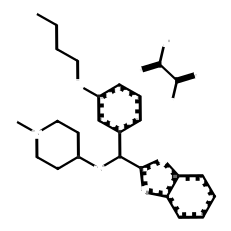 CCCCOc1cccc(C(NC2CCN(C)CC2)c2nc3ccccc3s2)c1.O=C(O)C(=O)O